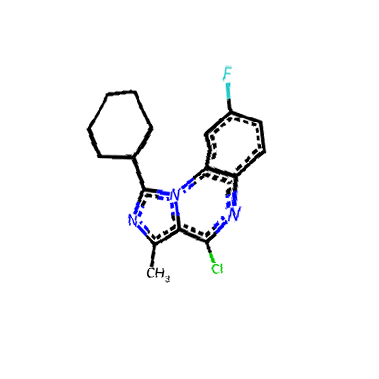 Cc1nc(C2CCCCC2)n2c1c(Cl)nc1ccc(F)cc12